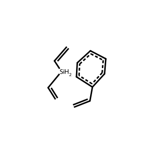 C=C[SiH2]C=C.C=Cc1ccccc1